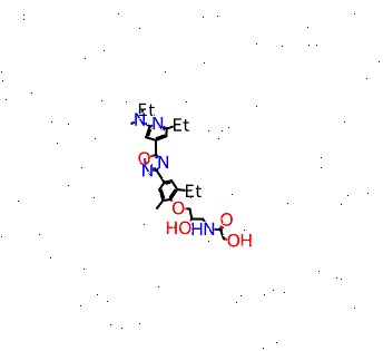 CCc1cc(-c2nc(-c3cc(C)c(OC[C@H](O)CNC(=O)CO)c(CC)c3)no2)cc(N(C)CC)n1